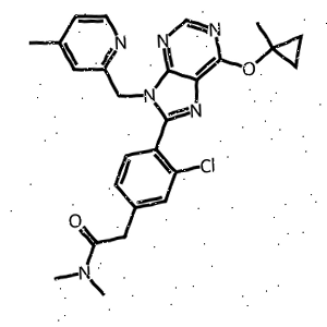 Cc1ccnc(Cn2c(-c3ccc(CC(=O)N(C)C)cc3Cl)nc3c(OC4(C)CC4)ncnc32)c1